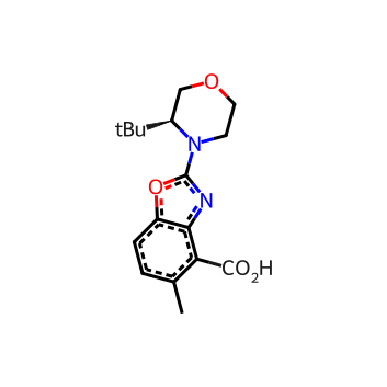 Cc1ccc2oc(N3CCOC[C@@H]3C(C)(C)C)nc2c1C(=O)O